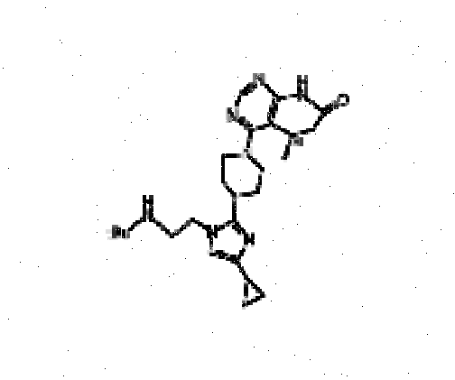 C[C@@H]1CC(=O)Nc2ncnc(N3CCC(c4nc(C5CC5)cn4CCNC(C)(C)C)CC3)c21